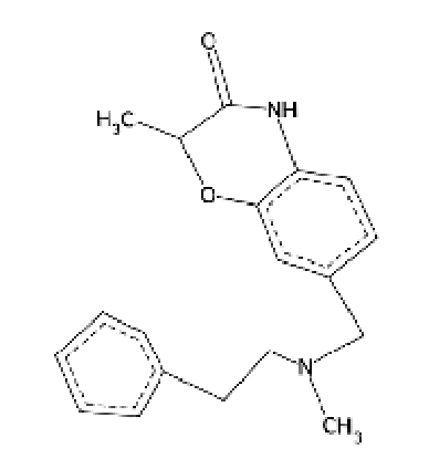 CC1Oc2cc(CN(C)CCc3ccccc3)ccc2NC1=O